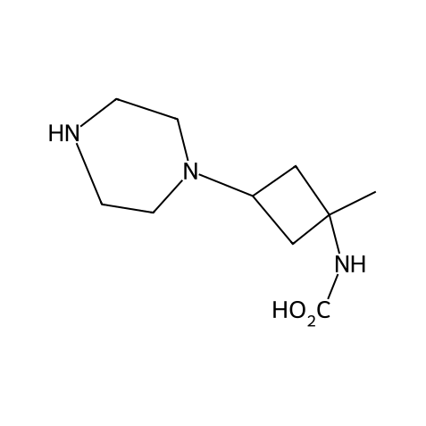 CC1(NC(=O)O)CC(N2CCNCC2)C1